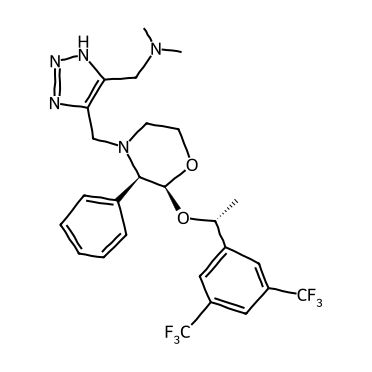 C[C@@H](O[C@@H]1OCCN(Cc2nn[nH]c2CN(C)C)[C@@H]1c1ccccc1)c1cc(C(F)(F)F)cc(C(F)(F)F)c1